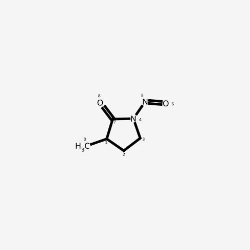 CC1CCN(N=O)C1=O